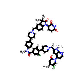 CNc1cc(=O)n(-c2ccnc3c2cc([C@H](C)N2CC=C(c4c(C)cc(C(=O)N(C)c5ccc(C6CCN(Cc7ccc8c(c7)C(C)(C)C(=O)N8C7CCC(=O)NC7=O)CC6)cc5)cc4F)CC2)n3C)cc1F